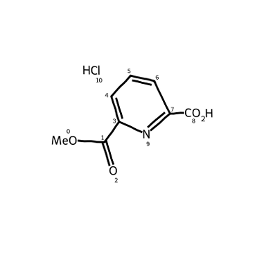 COC(=O)c1cccc(C(=O)O)n1.Cl